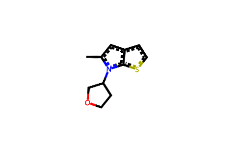 Cc1cc2ccsc2n1C1CCOC1